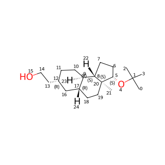 CC(C)(C)O[C@H]1CC[C@H]2[C@@H]3CC[C@@H](CCO)C[C@H]3CC[C@]12C